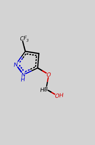 OBOc1cc(C(F)(F)F)n[nH]1